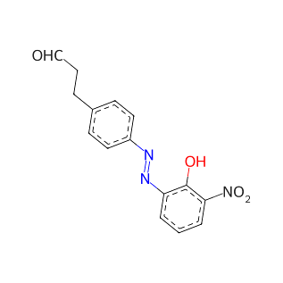 O=CCCc1ccc(N=Nc2cccc([N+](=O)[O-])c2O)cc1